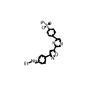 CCNCc1ccc(-c2cc(-c3cncc(-c4ccc(S(=O)(=O)C(C)C)cc4)n3)on2)cc1